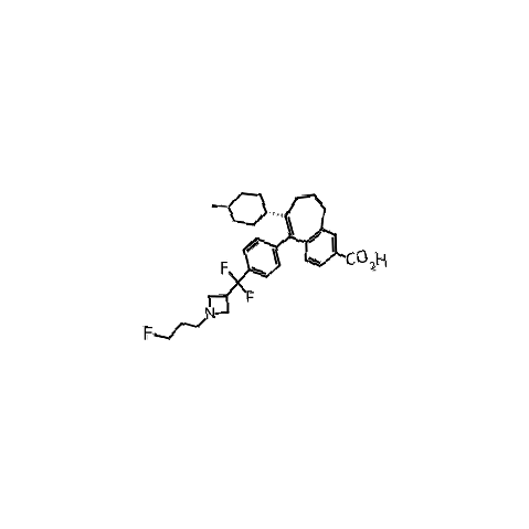 C[C@H]1CC[C@H](C2=C(c3ccc(C(F)(F)C4CN(CCCF)C4)cc3)c3ccc(C(=O)O)cc3CCC2)CC1